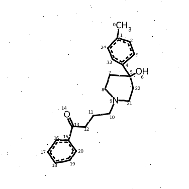 Cc1ccc(C2(O)CCN(CCCC(=O)c3ccccc3)CC2)cc1